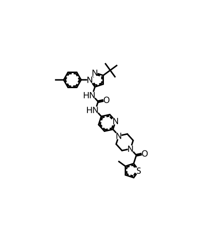 Cc1ccc(-n2nc(C(C)(C)C)cc2NC(=O)Nc2ccc(N3CCN(C(=O)c4sccc4C)CC3)nc2)cc1